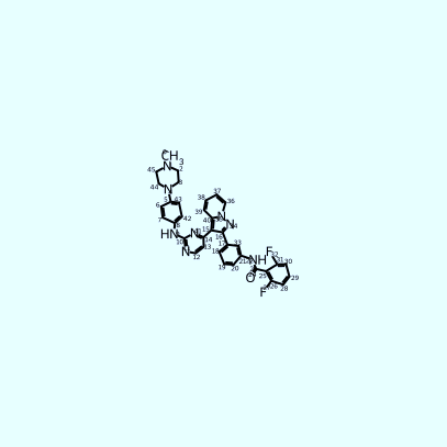 CN1CCN(c2ccc(Nc3nccc(-c4c(-c5cccc(NC(=O)c6c(F)cccc6F)c5)nn5ccccc45)n3)cc2)CC1